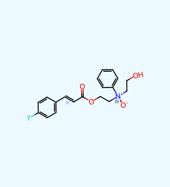 O=C(/C=C/c1ccc(F)cc1)OCC[N@@+]([O-])(CCO)c1ccccc1